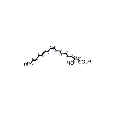 CCCC=CCC=CC/C=C\CCCCCCC(O)CC(=O)O